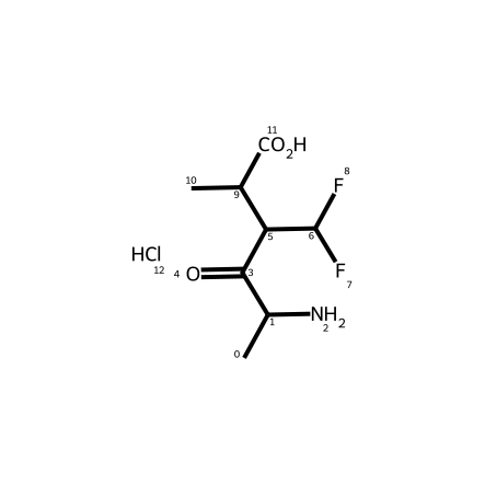 CC(N)C(=O)C(C(F)F)C(C)C(=O)O.Cl